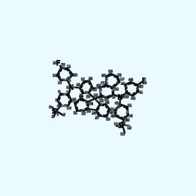 C[Si](C)(C)c1ccc(N(c2ccc(F)cc2)c2ccc3c(c2)C2(c4ccccc4-c4ccccc42)c2cc(N(c4ccc(F)cc4)c4ccc([Si](C)(C)C)cc4)c4ccccc4c2-3)cc1